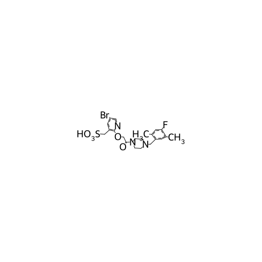 Cc1cc(CN2CCN(C(=O)COc3ncc(Br)cc3CS(=O)(=O)O)CC2)c(C)cc1F